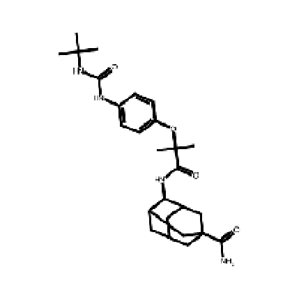 CC(C)(C)NC(=O)Nc1ccc(OC(C)(C)C(=O)NC2C3CC4CC2CC(C(N)=O)(C4)C3)cc1